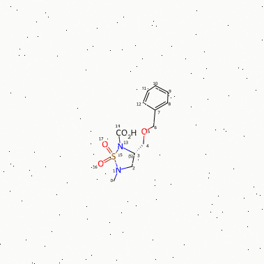 CN1C[C@@H](COCc2ccccc2)N(C(=O)O)S1(=O)=O